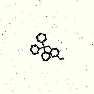 C=Cc1ccc(CC(c2ccccc2)(c2ccccc2)c2ccccc2)cc1